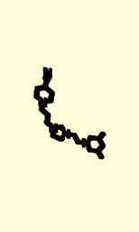 CC1CC(C)CN(CCN2CCN(CCCN3CCC(C#N)CC3)C2)C1